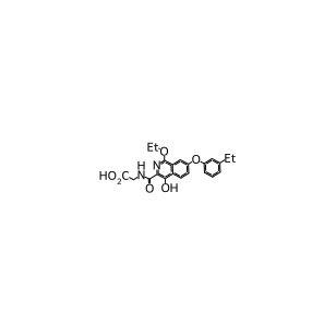 CCOc1nc(C(=O)NCC(=O)O)c(O)c2ccc(Oc3cccc(CC)c3)cc12